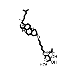 CC(=O)N[C@@H]1[C@@H](O)[C@@H](O)[C@@H](CO)O[C@H]1SCCCCCCOC1CC[C@@]2(C)C(=CC[C@H]3[C@@H]4CC[C@H]([C@H](C)CCCC(C)C)[C@@]4(C)CC[C@@H]32)C1